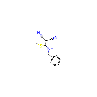 CSC(NCc1ccccc1)C(C#N)C#N